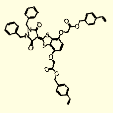 C=Cc1ccc(COC(=O)COc2ccc(OCC(=O)OCc3ccc(C=C)cc3)c3c2SC(=C2C(=O)N(Cc4ccccc4)N(Cc4ccccc4)C2=O)S3)cc1